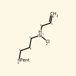 C=CC[SiH](Cl)CCCCCCCC